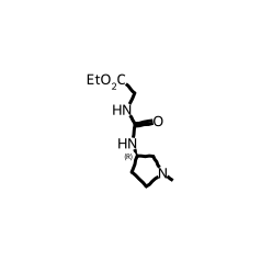 CCOC(=O)CNC(=O)N[C@@H]1CCN(C)C1